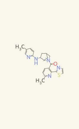 Cc1ccc(NC2CC3CC2N(C(=O)c2ccc(C)nc2-c2nccs2)C3)nc1